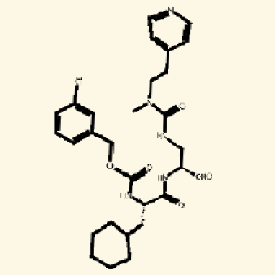 CN(CCc1ccncc1)C(=O)NC[C@@H](C=O)NC(=O)[C@H](CC1CCCCC1)NC(=O)OCc1cccc(Cl)c1